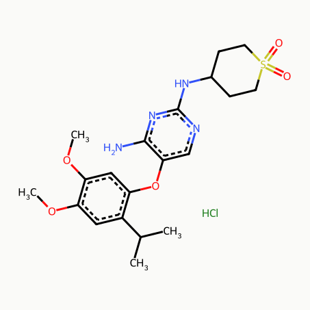 COc1cc(Oc2cnc(NC3CCS(=O)(=O)CC3)nc2N)c(C(C)C)cc1OC.Cl